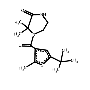 CC(C)(C)c1cc(C(=O)N2CCNC(=O)C2(C)C)c(N)s1